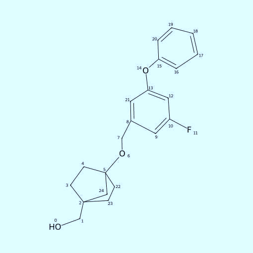 OCC12CCC(OCc3cc(F)cc(Oc4ccccc4)c3)(CC1)C2